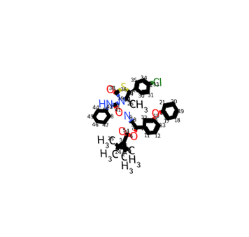 CC1(C)C(C(=O)OC(C#N)c2cccc(Oc3ccccc3)c2)C1(C)C.C[C@H]1[C@H](c2ccc(Cl)cc2)SC(=O)N1C(=O)NC1CCCCC1